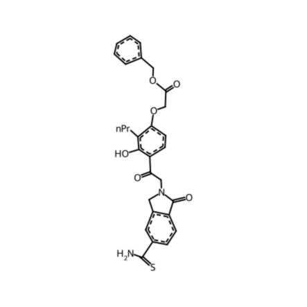 CCCc1c(OCC(=O)OCc2ccccc2)ccc(C(=O)CN2Cc3cc(C(N)=S)ccc3C2=O)c1O